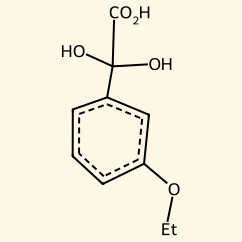 CCOc1cccc(C(O)(O)C(=O)O)c1